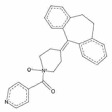 O=C(c1ccncc1)[N+]1([O-])CCC(=C2c3ccccc3CCc3ccccc32)CC1